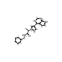 CC(C(=O)NCc1ccccc1)n1cc(-c2ncnc3[nH]ccc23)cn1